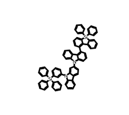 c1ccc([Si](c2ccccc2)(c2ccccc2)c2cccc(-n3c4ccccc4c4ccc(-n5c6ccccc6c6c(-c7cccc8c7-c7ccccc7[Si]8(c7ccccc7)c7ccccc7)cccc65)cc43)c2)cc1